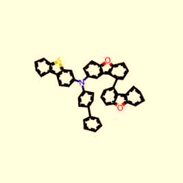 c1ccc(-c2ccc(N(c3ccc4c(c3)sc3ccccc34)c3ccc4oc5cccc(-c6cccc7oc8ccccc8c67)c5c4c3)cc2)cc1